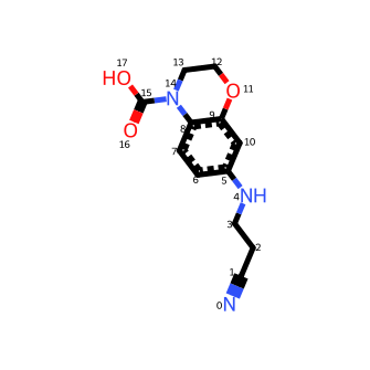 N#CCCNc1ccc2c(c1)OCCN2C(=O)O